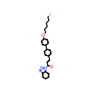 O=C(/C=C/c1ccc(-c2ccc(OCCCCCCF)cc2)cc1)n1nnc2ccccc21